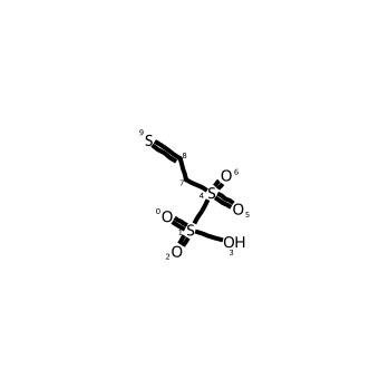 O=S(=O)(O)S(=O)(=O)CC=S